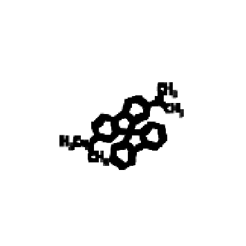 CN(C)c1ccc2c(c1)C1(c3ccccc3-c3ccccc31)c1cc(N(C)C)ccc1-2